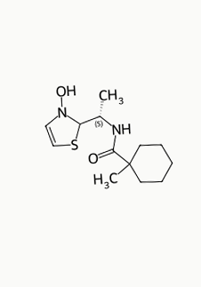 C[C@H](NC(=O)C1(C)CCCCC1)C1SC=CN1O